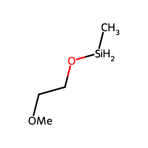 COCCO[SiH2]C